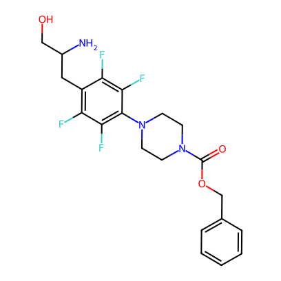 NC(CO)Cc1c(F)c(F)c(N2CCN(C(=O)OCc3ccccc3)CC2)c(F)c1F